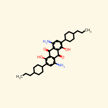 CCCC1CCC(c2cc(N)c3c(c2O)C(=O)c2c(N)cc(C4CCC(CCC)CC4)c(O)c2C3=O)CC1